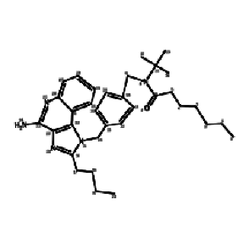 CCCCCCC(=O)N(Cc1ccc(Cn2c(CCCC)nc3c(N)nc4ccccc4c32)cc1)C(C)(C)C